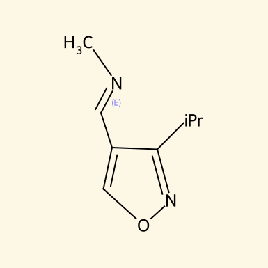 C/N=C/c1conc1C(C)C